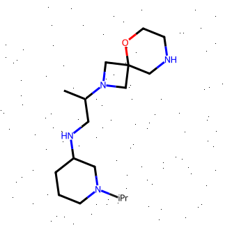 CC(C)N1CCCC(NCC(C)N2CC3(CNCCO3)C2)C1